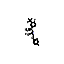 Cc1ccc(OC/C(N)=C/N(N)c2ccc(F)c(C(C)(F)F)c2)nc1